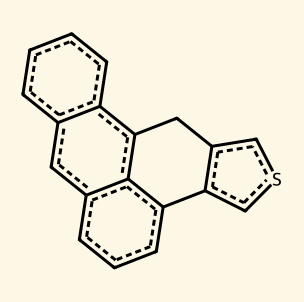 c1ccc2c3c4c(cccc4cc2c1)-c1cscc1C3